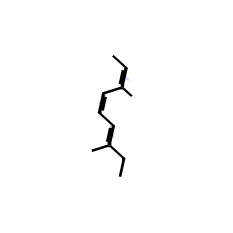 C\C=C(Cl)/C=C\C=C(/C)CC